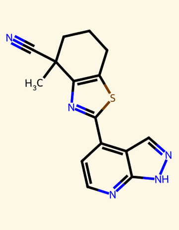 CC1(C#N)CCCc2sc(-c3ccnc4[nH]ncc34)nc21